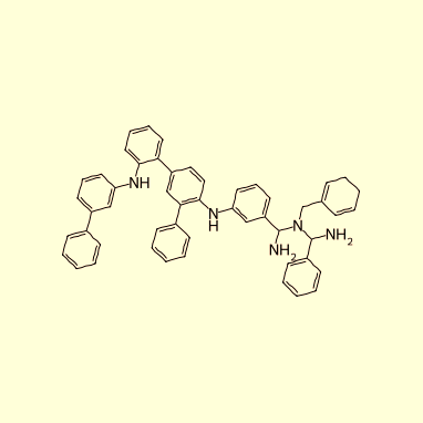 NC(c1ccccc1)N(CC1=CCCC=C1)C(N)c1cccc(Nc2ccc(-c3ccccc3Nc3cccc(-c4ccccc4)c3)cc2-c2ccccc2)c1